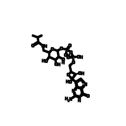 CC(C)C(=O)NCC1OC(OP(=O)(O)OP(=O)(O)OCC2OC(O)(n3cnc4c(=O)[nH]c(N)nc43)[C@H]2O)C(O)C(O)C1O